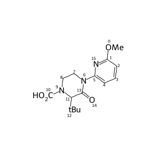 COc1cccc(N2CCN(C(=O)O)C(C(C)(C)C)C2=O)n1